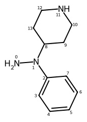 NN(c1ccccc1)C1CCNCC1